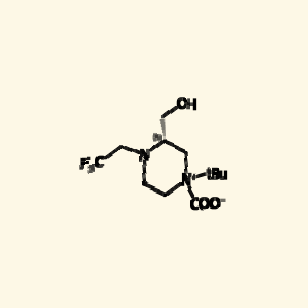 CC(C)(C)[N+]1(C(=O)[O-])CCN(CC(F)(F)F)[C@H](CO)C1